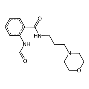 O=CNc1ccccc1C(=O)NCCCN1CCOCC1